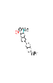 CCCC1CCC2CC(c3ccc4cc(C(=O)OC)c(F)cc4c3)CCC2C1